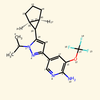 CC(C)n1nc(-c2cnc(N)c(OC(F)(F)F)c2)cc1C1[C@H]2CCC[C@@H]12